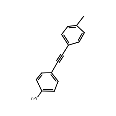 CCCc1ccc(C#Cc2ccc(C)cc2)cc1